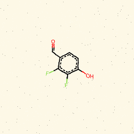 O=Cc1ccc(O)c(F)c1F